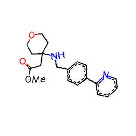 COC(=O)CC1(NCc2ccc(-c3ccccn3)cc2)CCOCC1